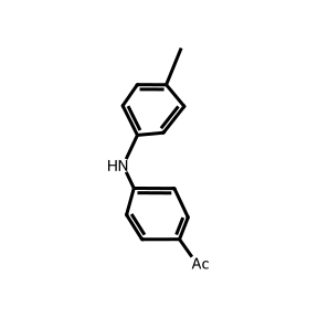 CC(=O)c1ccc(Nc2ccc(C)cc2)cc1